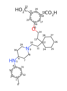 Cc1ccc(NC2CCN(CCC3(CCOc4cc(C(=O)O)cc(C(=O)O)c4)CCCCC3)CC2)cc1